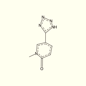 Cn1cc(-c2nnn[nH]2)ccc1=O